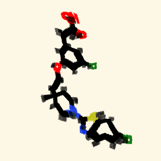 CC1(CCOc2cc(Cl)cc(CC(=O)O)c2)CCN(c2nc3ccc(Cl)cc3s2)CC1